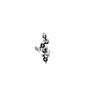 Cc1cnc(-c2ccnc(C3CCOCC3)n2)cc1-n1c(C)cc(NC(=O)c2ccc(F)cc2F)c(Cl)c1=O